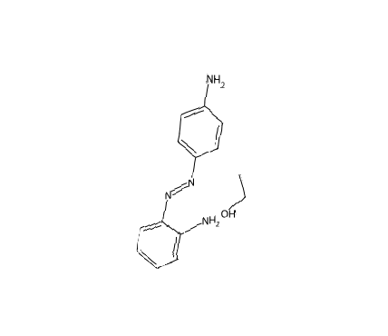 CCO.Nc1ccc(N=Nc2ccccc2N)cc1